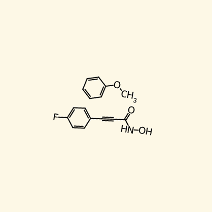 COc1ccccc1.O=C(C#Cc1ccc(F)cc1)NO